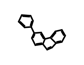 [c]1ccccc1-c1ccc2ccc3ccccc3c2c1